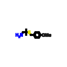 COc1ccc(CSC(C)(C)CN)cc1